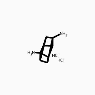 Cl.Cl.NC12C3C4C1C1C2C3C41N